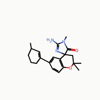 CC1C=C(c2ccc3c(c2)C2(CC(C)(C)O3)N=C(N)N(C)C2=O)CCC1